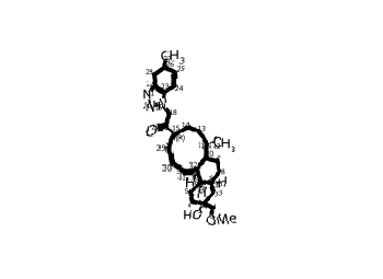 COC[C@@]1(O)CC[C@H]2[C@@H](CCC3[C@@H](C)CC[C@H](C(=O)Cn4nnc5c4C=CC(C)C5)CCC[C@@H]32)C1